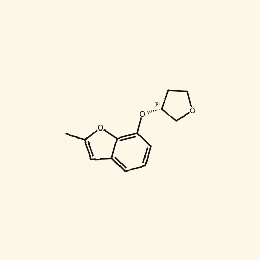 Cc1cc2cccc(O[C@@H]3CCOC3)c2o1